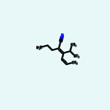 C/C=C\C(=C(\C#N)CCC)C(C)C